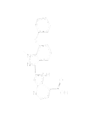 Cn1nc(-c2cc3nccc(C(=O)O)c3[nH]2)c2cccc(Sc3ccccc3)c21